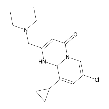 CCN(CC)CC1=CC(=O)N2C=C(Cl)C=C(C3CC3)C2N1